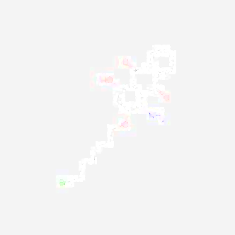 Nc1c(OCCCCCCBr)cc(O)c2c1C(=O)c1ccccc1C2=O